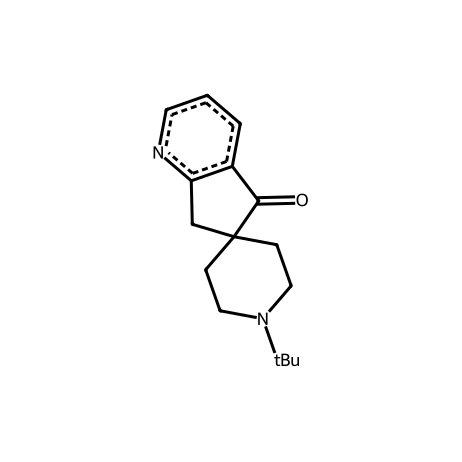 CC(C)(C)N1CCC2(CC1)Cc1ncccc1C2=O